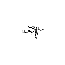 CCO[Si](OCC)(OCC)C(C)=C[C]=O